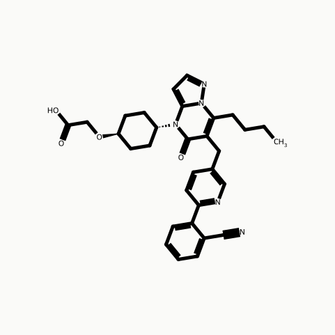 CCCCc1c(Cc2ccc(-c3ccccc3C#N)nc2)c(=O)n([C@H]2CC[C@H](OCC(=O)O)CC2)c2ccnn12